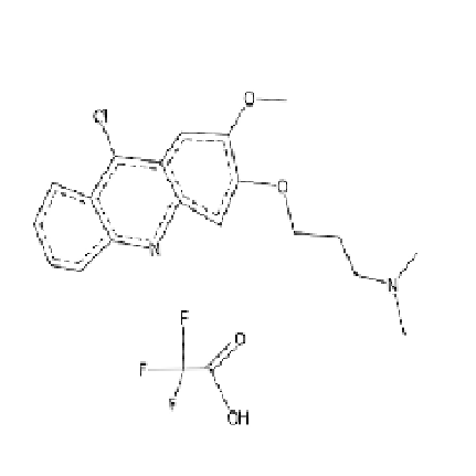 COc1cc2c(Cl)c3ccccc3nc2cc1OCCCN(C)C.O=C(O)C(F)(F)F